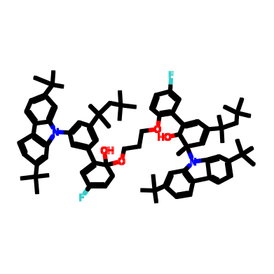 CC(C)(C)CC(C)(C)C1=CC(C)(n2c3cc(C(C)(C)C)ccc3c3ccc(C(C)(C)C)cc32)C(O)C(c2cc(F)ccc2OCCCOC2(O)CC=C(F)C=C2c2cc(-n3c4cc(C(C)(C)C)ccc4c4ccc(C(C)(C)C)cc43)cc(C(C)(C)CC(C)(C)C)c2)=C1